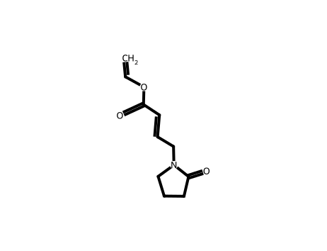 C=COC(=O)C=CCN1CCCC1=O